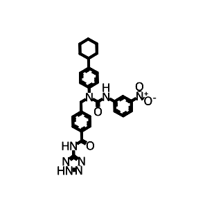 O=C(Nc1nn[nH]n1)c1ccc(CN(C(=O)Nc2cccc([N+](=O)[O-])c2)c2ccc(C3CCCCC3)cc2)cc1